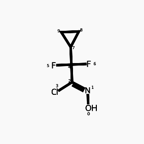 ON=C(Cl)C(F)(F)C1CC1